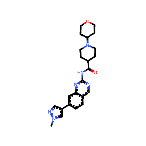 Cn1cc(-c2ccc3cnc(NC(=O)C4CCN(C5CCOCC5)CC4)nc3c2)cn1